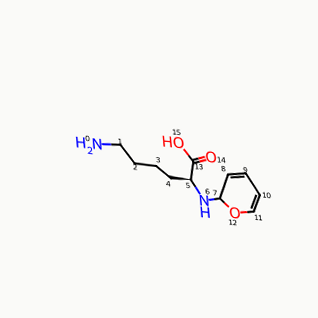 NCCCC[C@H](NC1C=CC=CO1)C(=O)O